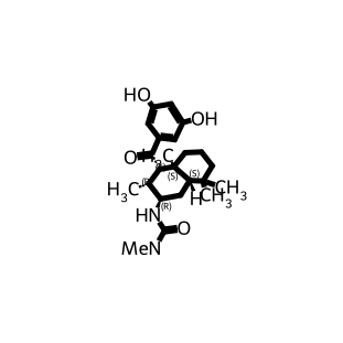 CNC(=O)N[C@@H]1C[C@H]2C(C)(C)CCC[C@]2(C)[C@@H](C(=O)c2cc(O)cc(O)c2)[C@H]1C